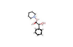 O=C(ON1CCCCC1)C(O)c1ccccc1